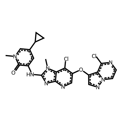 Cn1cc(C2CC2)cc(Nc2nc3ncc(Oc4cnn5ccnc(Cl)c45)c(Cl)c3n2C)c1=O